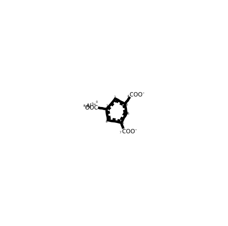 O=C([O-])c1cc(C(=O)[O-])cc(C(=O)[O-])c1.[Al+3]